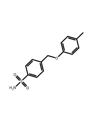 Cc1ccc(OCc2ccc(S(N)(=O)=O)cc2)cc1